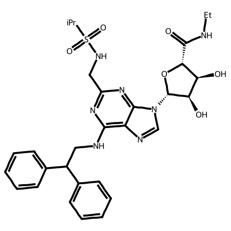 CCNC(=O)[C@H]1O[C@@H](n2cnc3c(NCC(c4ccccc4)c4ccccc4)nc(CNS(=O)(=O)C(C)C)nc32)[C@H](O)[C@@H]1O